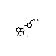 COc1cccc2c1c(N)nn2Cc1cccc(CNC(C)=O)c1